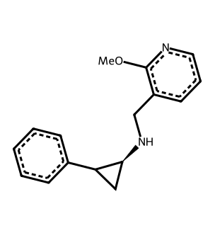 COc1ncccc1CN[C@H]1CC1c1ccccc1